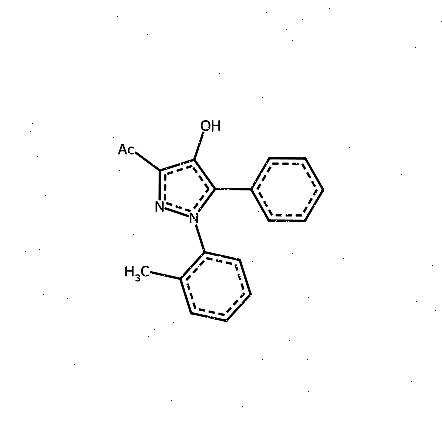 CC(=O)c1nn(-c2ccccc2C)c(-c2ccccc2)c1O